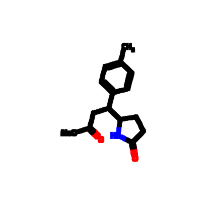 COC(=O)CC(c1ccc(C)cc1)C1CCC(=O)N1